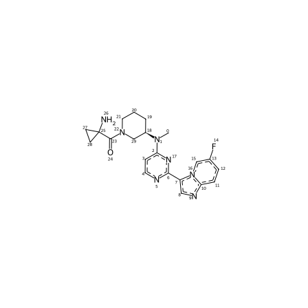 CN(c1ccnc(-c2cnc3ccc(F)cn23)n1)[C@@H]1CCCN(C(=O)C2(N)CC2)C1